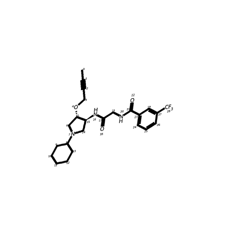 CC#CCO[C@H]1CN(C2CCCCC2)C[C@@H]1NC(=O)CNC(=O)c1cccc(C(F)(F)F)c1